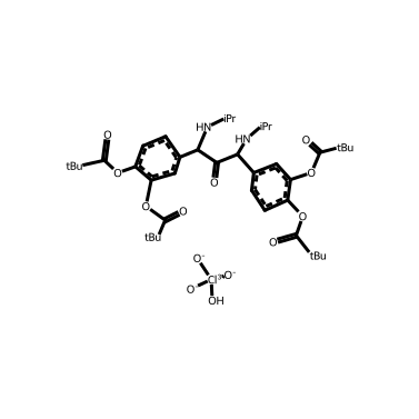 CC(C)NC(C(=O)C(NC(C)C)c1ccc(OC(=O)C(C)(C)C)c(OC(=O)C(C)(C)C)c1)c1ccc(OC(=O)C(C)(C)C)c(OC(=O)C(C)(C)C)c1.[O-][Cl+3]([O-])([O-])O